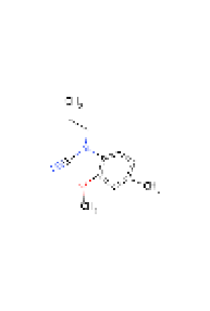 CCCN(C#N)c1ccc(C)cc1OC